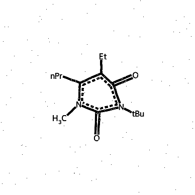 CCCc1c(CC)c(=O)n(C(C)(C)C)c(=O)n1C